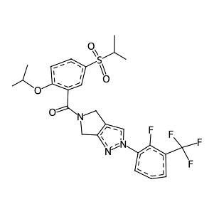 CC(C)Oc1ccc(S(=O)(=O)C(C)C)cc1C(=O)N1Cc2cn(-c3cccc(C(F)(F)F)c3F)nc2C1